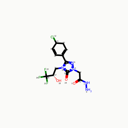 NNC(=O)Cn1nc(C2=CCC(Cl)C=C2)n(C[C@H](O)C(F)(F)F)c1=O